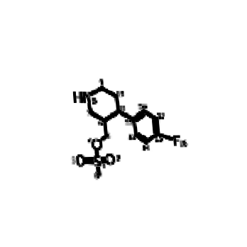 CS(=O)(=O)OCC1CNCCC1c1ccc(F)cc1